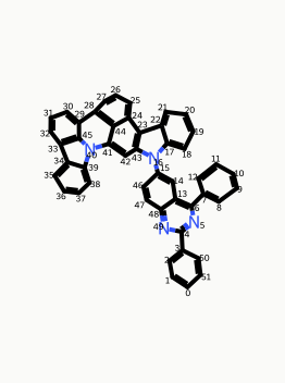 c1ccc(-c2nc(-c3ccccc3)c3cc(-n4c5ccccc5c5c6cccc7c8cccc9c%10ccccc%10n(c(cc54)c76)c89)ccc3n2)cc1